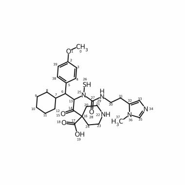 COc1ccc(C(C2CCCCC2)C(C(=O)C2(C(=O)O)CCNCC2)N(S)C(=O)NCCc2cncn2C)cc1